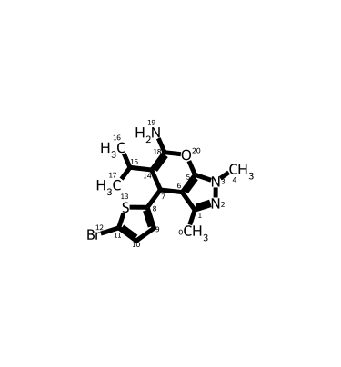 Cc1nn(C)c2c1C(c1ccc(Br)s1)C(C(C)C)=C(N)O2